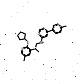 Cc1cnc(OC2CCCC2)c(C(C)CNc2cc(-c3ccc(C)nc3)ncn2)c1